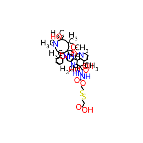 CC[C@]1(O)CC(C)C[C@](C(=O)OC)(c2cc3c(cc2OC)N(C)[C@H]2[C@@](O)(C(=O)NNC(=O)OCCSSCCC(=O)O)[C@H](O)[C@]4(CC)C=CCN5CC[C@]32[C@@H]54)c2[nH]c3ccccc3c2CCN(C)C1